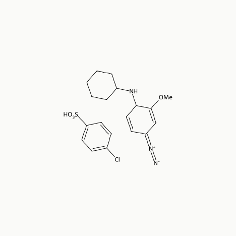 COC1=CC(=[N+]=[N-])C=CC1NC1CCCCC1.O=S(=O)(O)c1ccc(Cl)cc1